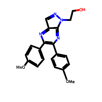 COc1ccc(-c2nc3cnn(CCO)c3nc2-c2ccc(OC)cc2)cc1